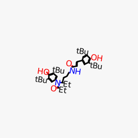 CCC(=O)N(c1cc(C(C)(C)C)c(O)c(C(C)(C)C)c1)C(CC)CCCNC(=O)C=Cc1cc(C(C)(C)C)c(O)c(C(C)(C)C)c1